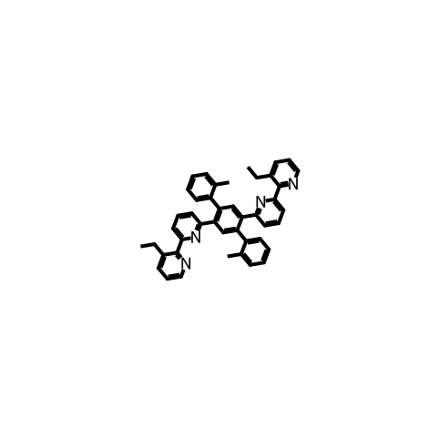 CCc1cccnc1-c1cccc(-c2cc(-c3ccccc3C)c(-c3cccc(-c4ncccc4CC)n3)cc2-c2ccccc2C)n1